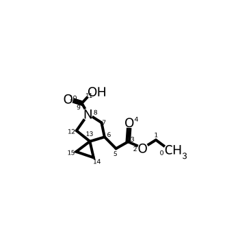 CCOC(=O)CC1CN(C(=O)O)CC12CC2